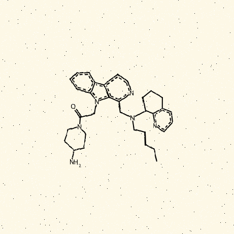 CCCCCN(Cc1nccc2c3ccccc3n(CC(=O)N3CCC(N)CC3)c12)C1CCCc2cccnc21